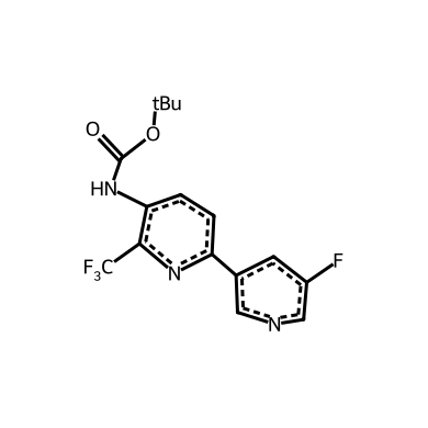 CC(C)(C)OC(=O)Nc1ccc(-c2cncc(F)c2)nc1C(F)(F)F